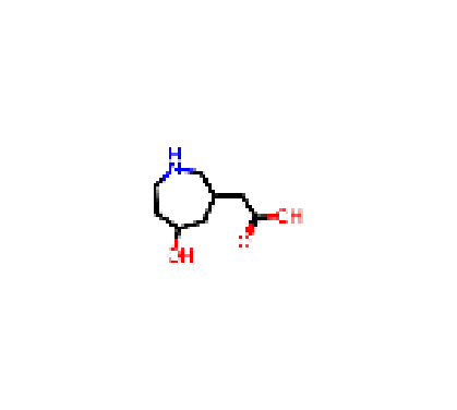 O=C(O)CC1CNCCC(O)C1